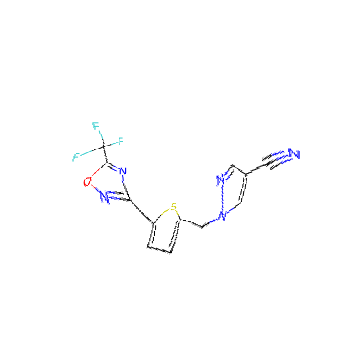 N#Cc1cnn(Cc2ccc(-c3noc(C(F)(F)F)n3)s2)c1